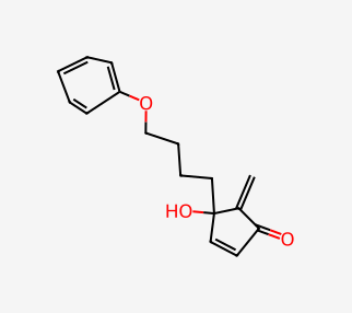 C=C1C(=O)C=CC1(O)CCCCOc1ccccc1